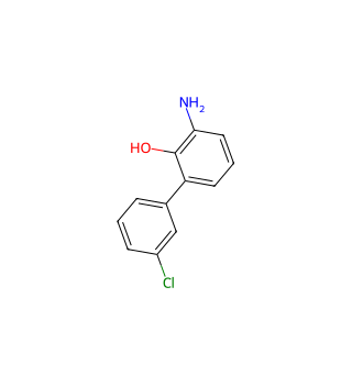 Nc1cccc(-c2cccc(Cl)c2)c1O